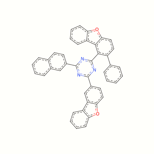 c1ccc(-c2ccc3oc4ccccc4c3c2-c2nc(-c3ccc4ccccc4c3)nc(-c3ccc4oc5ccccc5c4c3)n2)cc1